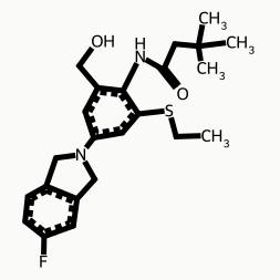 CCSc1cc(N2Cc3ccc(F)cc3C2)cc(CO)c1NC(=O)CC(C)(C)C